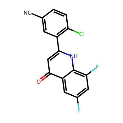 N#Cc1ccc(Cl)c(-c2cc(=O)c3cc(F)cc(F)c3[nH]2)c1